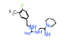 N=C(NCC(=N)N1CCCCC1)NCc1ccc(F)c(C(F)(F)F)c1